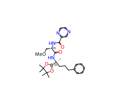 COC[C@@H](NC(=O)c1cnccn1)C(=O)N[C@@](C)(CCCc1ccccc1)B1OC(C)(C)C(C)(C)O1